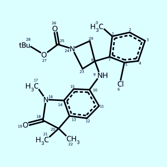 Cc1cccc(Cl)c1C1(Nc2ccc3c(c2)N(C)C(=O)C3(C)C)CN(C(=O)OC(C)(C)C)C1